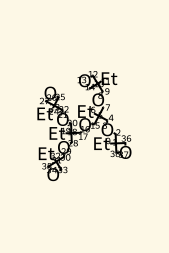 CCC1(COCC(CC)(COCC2(CC)COC2)COCC(CC)(COCC2(CC)COC2)COCC2(CC)COC2)COC1